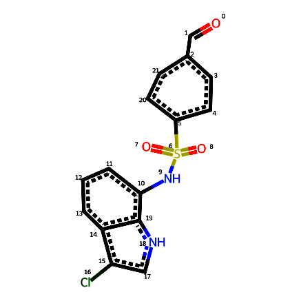 O=Cc1ccc(S(=O)(=O)Nc2cccc3c(Cl)c[nH]c23)cc1